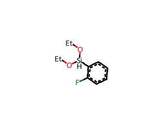 CCO[SiH](OCC)c1ccccc1F